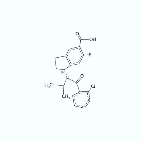 CC(C)N(C(=O)c1ccccc1Cl)[C@@H]1CCc2cc(C(=O)O)c(F)cc21